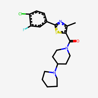 Cc1nc(-c2ccc(Cl)c(F)c2)sc1C(=O)N1CCC(N2CCCCC2)CC1